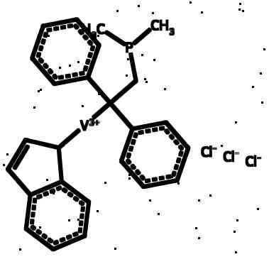 CP(C)C[C]([V+3][CH]1C=Cc2ccccc21)(c1ccccc1)c1ccccc1.[Cl-].[Cl-].[Cl-]